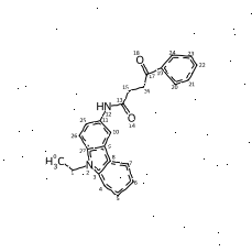 CCn1c2ccccc2c2cc(NC(=O)CCC(=O)c3ccccc3)ccc21